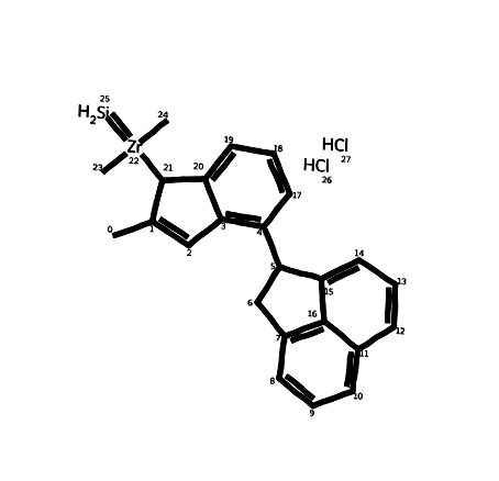 CC1=Cc2c(C3Cc4cccc5cccc3c45)cccc2[CH]1[Zr]([CH3])([CH3])=[SiH2].Cl.Cl